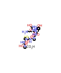 NCCCC[C@H](NC(=O)[C@@H](N)CO)C(=O)N[C@@H](Cc1ccc(O)cc1)C(=O)NCC(=O)N1CCC[C@H]1C(=O)N[C@@H](CS)C(=O)N1CCC[C@H]1C(=O)N[C@@H](CO)C(=O)N1CCC[C@H]1C(=O)O